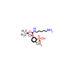 CC(C)(C)OC(=O)NCCCCCN.Cc1ccccc1S(=O)(=O)O